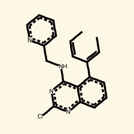 C/C=C\C(=C/C)c1cccc2nc(Cl)nc(NCc3ccccn3)c12